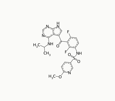 COc1ccc(S(=O)(=O)Nc2ccc(F)c(C(=O)c3c[nH]c4ncnc(NC(C)C)c34)c2F)cn1